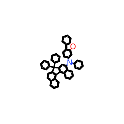 c1ccc(N(c2ccc3c(c2)oc2ccccc23)c2cc3c(c4ccccc24)-c2c(ccc4ccccc24)C3(c2ccccc2)c2ccccc2)cc1